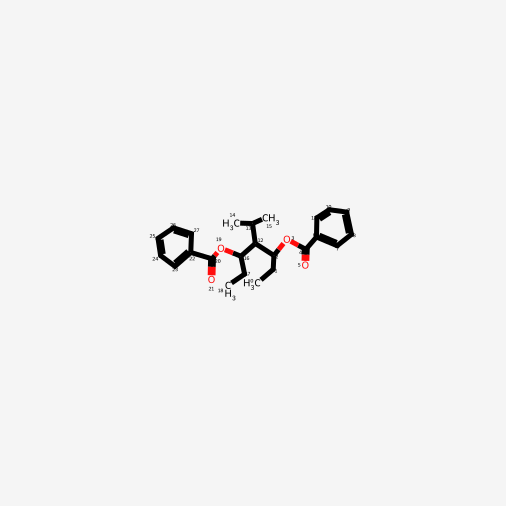 CCC(OC(=O)c1ccccc1)C(C(C)C)C(CC)OC(=O)c1ccccc1